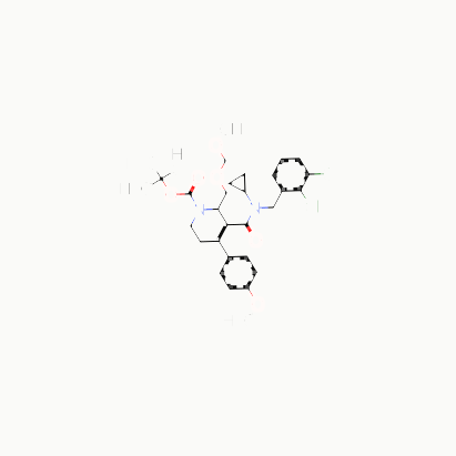 COCOCC1C(C(=O)N(Cc2cccc(Cl)c2Cl)C2CC2)=C(c2ccc(OC)cc2)CCN1C(=O)OC(C)(C)C